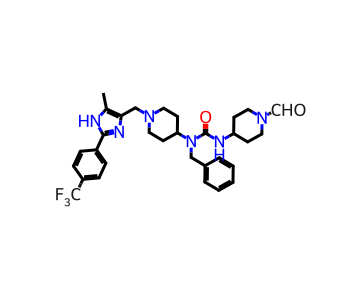 Cc1[nH]c(-c2ccc(C(F)(F)F)cc2)nc1CN1CCC(N(Cc2ccccc2)C(=O)NC2CCN(C=O)CC2)CC1